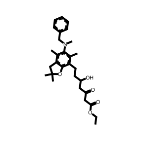 CCOC(=O)CC(=O)CC(O)CCc1c(C)c(N(C)Cc2ccccc2)c(C)c2c1OC(C)(C)C2